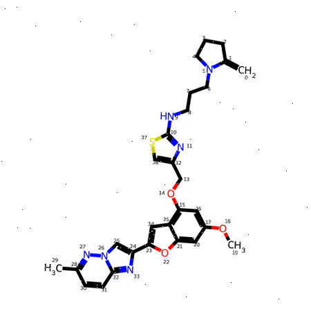 C=C1CCCN1CCCNc1nc(COc2cc(OC)cc3oc(-c4cn5nc(C)ccc5n4)cc23)cs1